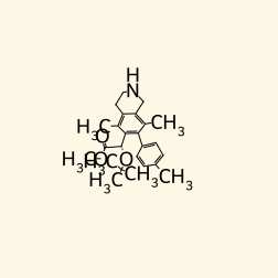 COC(=O)[C@@H](OC(C)(C)C)c1c(C)c2c(c(C)c1-c1ccc(C)cc1)CNCC2